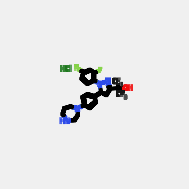 Cl.OC(C1=NN(c2ccc(F)cc2F)C(c2ccc(N3CCCNCC3)cc2)C1)(C(F)(F)F)C(F)(F)F